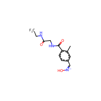 Cc1cc(/C=N\O)ccc1C(=O)NCC(=O)NCC(F)(F)F